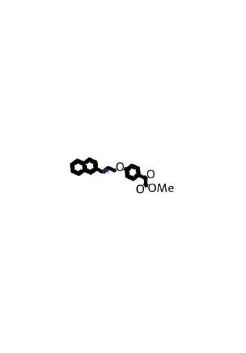 COC(=O)C(=O)c1ccc(OC/C=C/c2ccc3ccccc3c2)cc1